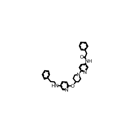 O=C(Cc1ccccc1)Nc1ccc(N2CCC(Oc3ccc(NCCc4ccccc4)cn3)CC2)nc1